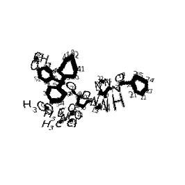 COc1ccc(C(OC[C@H]2O[C@@H](n3cnc4c(NC(=O)c5ccccc5)ncnc43)C[C@@H]2OP(=O)(Cl)N(C)C)(c2ccccc2)c2ccc(OC)cc2)cc1